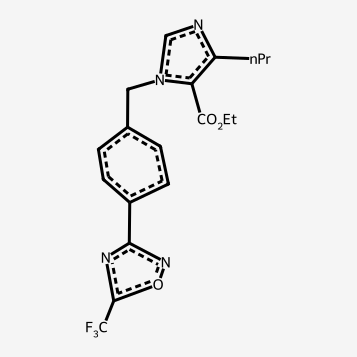 CCCc1ncn(Cc2ccc(-c3noc(C(F)(F)F)n3)cc2)c1C(=O)OCC